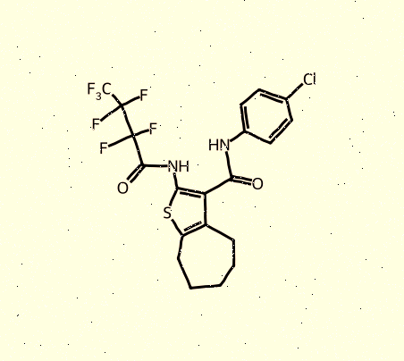 O=C(Nc1ccc(Cl)cc1)c1c(NC(=O)C(F)(F)C(F)(F)C(F)(F)F)sc2c1CCCCC2